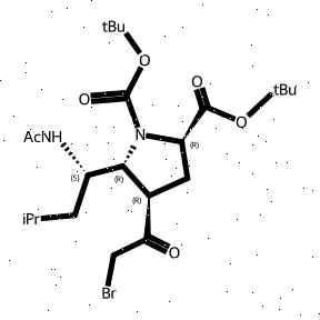 CC(=O)N[C@@H](CC(C)C)[C@H]1[C@H](C(=O)CBr)C[C@H](C(=O)OC(C)(C)C)N1C(=O)OC(C)(C)C